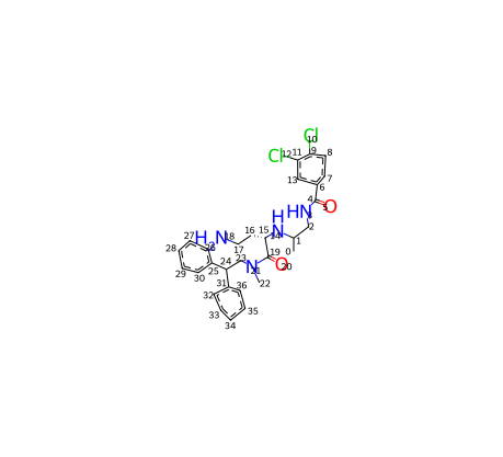 CC(CNC(=O)c1ccc(Cl)c(Cl)c1)N[C@@H](CCN)C(=O)N(C)CC(c1ccccc1)c1ccccc1